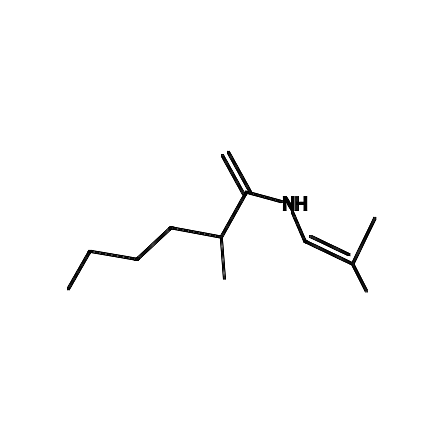 C=C(NC=C(C)C)C(C)CCCC